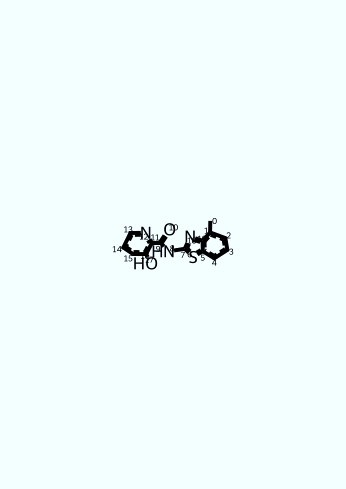 Cc1cccc2sc(NC(=O)c3ncccc3O)nc12